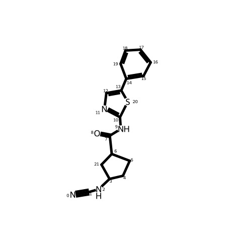 N#CNC1CCC(C(=O)Nc2ncc(-c3ccccc3)s2)C1